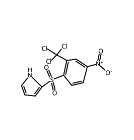 O=[N+]([O-])c1ccc(S(=O)(=O)c2ccc[nH]2)c(C(Cl)(Cl)Cl)c1